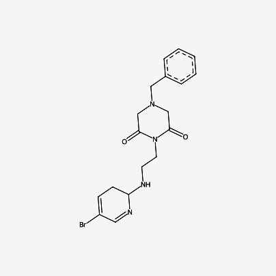 O=C1CN(Cc2ccccc2)CC(=O)N1CCNC1CC=C(Br)C=N1